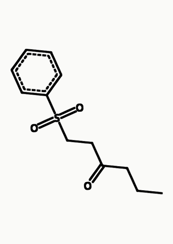 CCCC(=O)CCS(=O)(=O)c1ccccc1